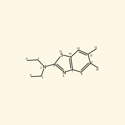 CCN(CC)c1nc2cc(C)c(C)cc2s1